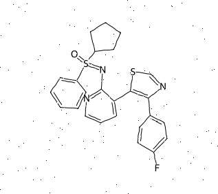 O=S(=Nc1ncccc1-c1scnc1-c1ccc(F)cc1)(c1ccccc1)C1CCCC1